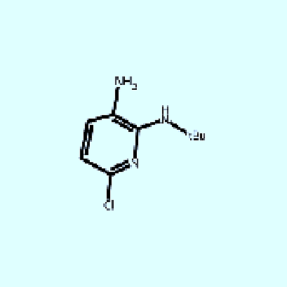 CC(C)(C)Nc1nc(Cl)ccc1N